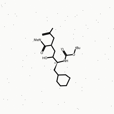 C=C(C)CC(CC(O)[C@H](CC1CCCCC1)NC(=O)OC(C)(C)C)C(=O)NC